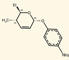 CC[C@H]1O[C@H](Oc2ccc(NC(C)=O)cc2)C=C[C@@H]1C